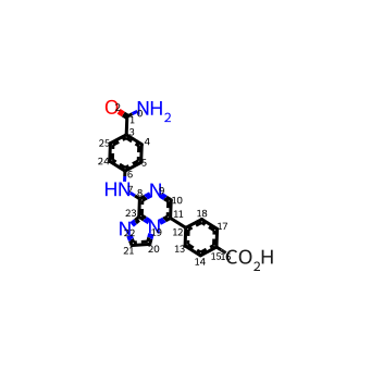 NC(=O)c1ccc(Nc2ncc(-c3ccc(C(=O)O)cc3)n3ccnc23)cc1